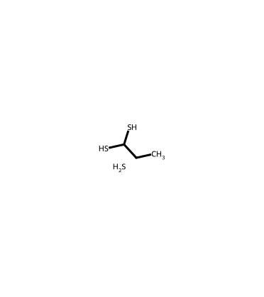 CCC(S)S.S